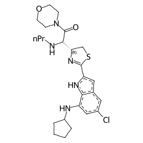 CCCNC(C(=O)N1CCOCC1)[C@@H]1CSC(c2cc3cc(Cl)cc(NC4CCCC4)c3[nH]2)=N1